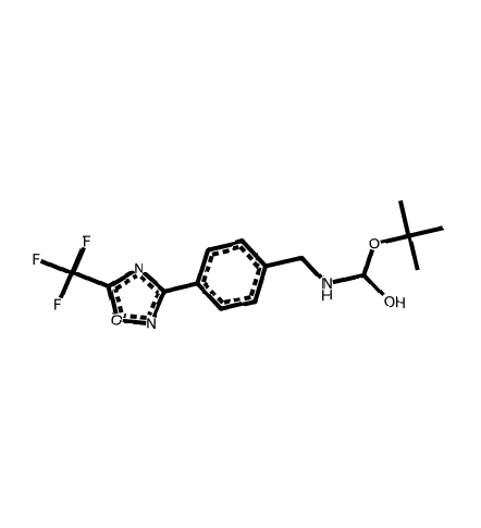 CC(C)(C)OC(O)NCc1ccc(-c2noc(C(F)(F)F)n2)cc1